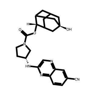 N#Cc1ccc2nc(N[C@@H]3CCN(C(=O)O[C@H]4C5CC6CC4C[C@](O)(C6)C5)C3)cnc2c1